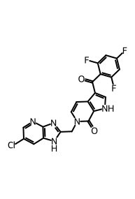 O=C(c1c(F)cc(F)cc1F)c1c[nH]c2c(=O)n(Cc3nc4ncc(Cl)cc4[nH]3)ccc12